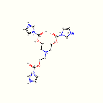 O=C(OCCN(CCOC(=O)n1ccnc1)CCOC(=O)n1ccnc1)N1C=CNC1